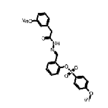 COc1cccc(CC(=O)N/N=C/c2ccccc2OS(=O)(=O)c2ccc(OC(C)C)cc2)c1